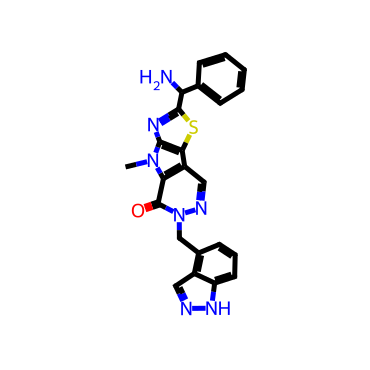 Cn1c2nc(C(N)c3ccccc3)sc2c2cnn(Cc3cccc4[nH]ncc34)c(=O)c21